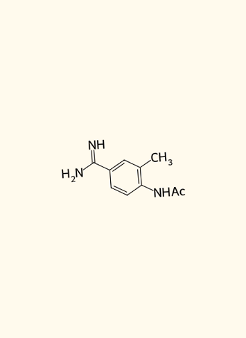 CC(=O)Nc1ccc(C(=N)N)cc1C